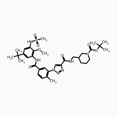 COc1c(NC(=O)c2ccc(C)c(-n3cc(C(=O)NCC4CCCN(C(=O)OC(C)(C)C)C4)nn3)c2)cc(C(C)(C)C)cc1NS(C)(=O)=O